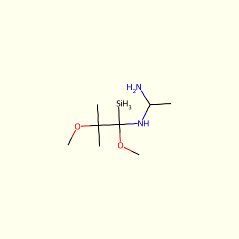 COC(C)(C)C([SiH3])(NC(C)N)OC